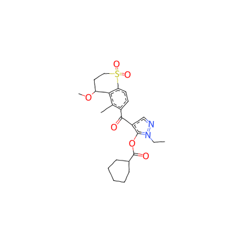 CCn1ncc(C(=O)c2ccc3c(c2C)C(OC)CCS3(=O)=O)c1OC(=O)C1CCCCC1